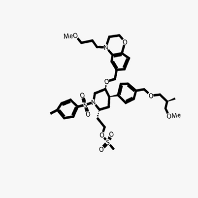 COCCCN1CCOc2ccc(CO[C@H]3CN(S(=O)(=O)c4ccc(C)cc4)[C@@H](CCOS(C)(=O)=O)C[C@@H]3c3ccc(COC[C@@H](C)COC)cc3)cc21